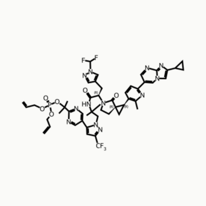 C=CCOP(=O)(OCC=C)OC(C)(C)c1ncc(-c2cc(C(F)(F)F)nn2CC(C)(C)NC(=O)[C@@H](Cc2cnn(C(F)F)c2)N2CC[C@@]3(C[C@@H]3c3ccc(-c4cnc5nc(C6CC6)cn5c4)nc3C)C2=O)cn1